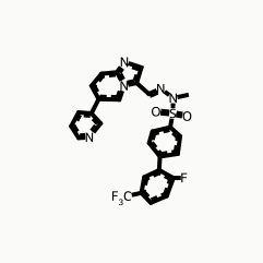 CN(N=Cc1cnc2ccc(-c3cccnc3)cn12)S(=O)(=O)c1ccc(-c2cc(C(F)(F)F)ccc2F)cc1